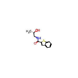 C[C@H](O)CNC(=O)c1cc2ccccc2s1